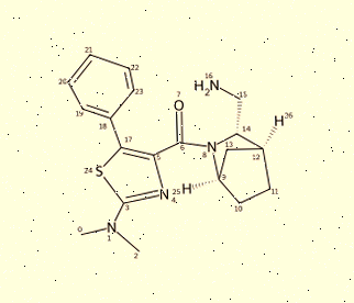 CN(C)c1nc(C(=O)N2[C@@H]3CC[C@@H](C3)[C@H]2CN)c(-c2ccccc2)s1